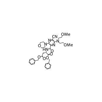 COCCN(CCOC)c1nc(C(=O)N[C@H](CC(=O)OCc2ccccc2)C(=O)OCc2ccccc2)c(N2CCOCC2)nc1C#N